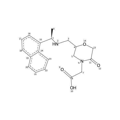 C[C@@H](NCC1CN(CC(=O)O)C(=O)CO1)c1cccc2ccccc12